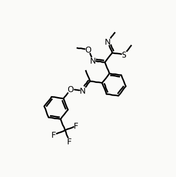 CN=C(SC)C(=NOC)c1ccccc1C(C)=NOc1cccc(C(F)(F)F)c1